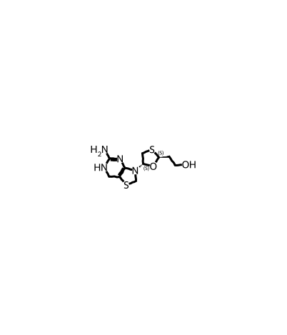 NC1=NC2=C(CN1)SCN2[C@@H]1CS[C@@H](CCO)O1